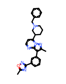 Cc1nc(-c2cccc(-c3c(C)nn4c(C5CCCN(Cc6ccccc6)C5)ccnc34)c2)no1